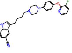 N#Cc1ccc2[nH]cc(CCCCN3CCN(c4ccc(Oc5ncccc5Cl)cc4)CC3)c2c1